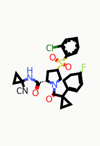 N#CC1(NC(=O)[C@@H]2C[C@@H](S(=O)(=O)c3ccccc3Cl)CN2C(=O)C2(C3=CC=C(F)CC3)CC2)CC1